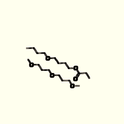 CCCCOCCCCOC(=O)CC.COCCCOCCCOC